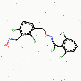 O/N=C/c1c(Cl)ccc(CO/N=C(\Cl)c2c(Cl)cccc2Cl)c1Cl